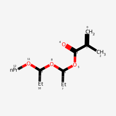 C=C(C)C(=O)OC(CC)OC(CC)OCCC